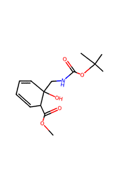 COC(=O)C1C=CC=CC1(O)CNC(=O)OC(C)(C)C